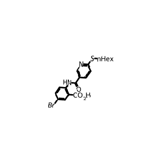 CCCCCCSc1ccc(C(=O)Nc2ccc(Br)cc2C(=O)O)cn1